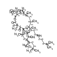 CC[C@H]1OC(=O)[C@@](C)(F)C(=O)[C@H](C)[C@@H](O[C@@H]2O[C@H](C)C[C@H](N(C)CCC(C)(C)C)[C@H]2O)[C@](C)(OCCNCCCN(C)C)C[C@@H](C)CN(C)[C@H](C)[C@@H](O)[C@]1(C)O